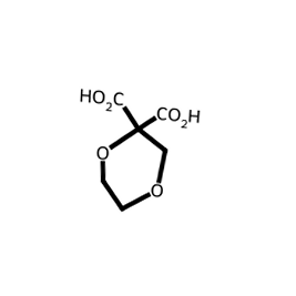 O=C(O)C1(C(=O)O)COCCO1